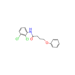 O=C(CCCOc1ccccc1)Nc1cccc(Cl)c1Cl